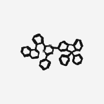 c1ccc(-c2nc(-c3ccc4c(c3)C(c3ccccc3)(c3ccccc3)c3ccccc3-4)nc(-c3ccccc3-c3cccc4ccccc34)n2)cc1